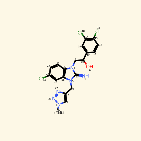 CC(C)(C)n1cc(Cn2c(=N)n(CC(O)c3ccc(Cl)c(Cl)c3)c3ccc(Cl)cc32)nn1